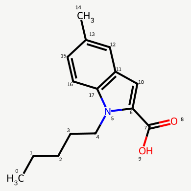 CCCCCn1c(C(=O)O)cc2cc(C)ccc21